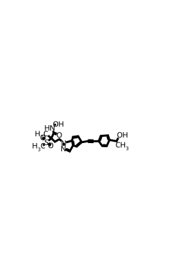 C[C@@H](O)c1ccc(C#Cc2ccc3c(cnn3CCC(C)(C(=O)NO)S(C)(=O)=O)c2)cc1